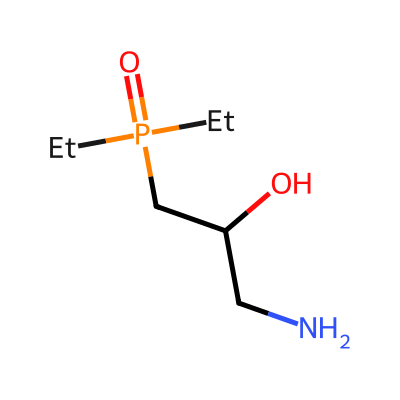 CCP(=O)(CC)CC(O)CN